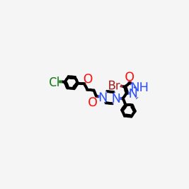 Cn1[nH]c(=O)c(Br)c1C(c1ccccc1)N1CCN(C(=O)CCC(=O)c2ccc(Cl)cc2)CC1